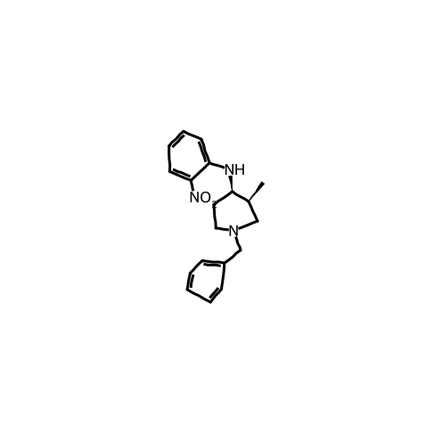 C[C@H]1CN(Cc2ccccc2)CC[C@H]1Nc1ccccc1[N+](=O)[O-]